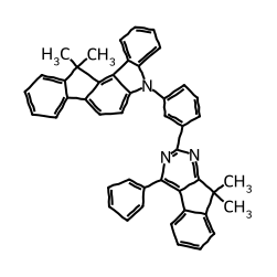 CC1(C)c2ccccc2-c2c(-c3ccccc3)nc(-c3cccc(-n4c5ccccc5c5c6c(ccc54)-c4ccccc4C6(C)C)c3)nc21